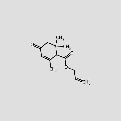 C=CCOC(=O)C1C(C)=CC(=O)CC1(C)C